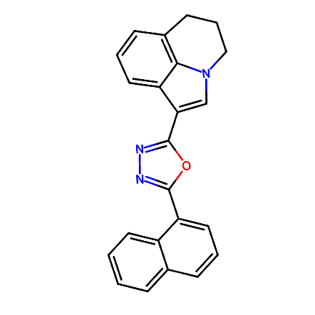 c1ccc2c(-c3nnc(-c4cn5c6c(cccc46)CCC5)o3)cccc2c1